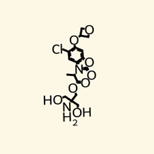 CC(C(=O)OCC(N)(CO)CO)n1c(=O)oc2cc(OC3COC3)c(Cl)cc21